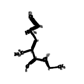 CCOC(=O)C(C)=CNC=O